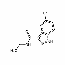 CCNC(=O)c1n[nH]c2ccc(Br)cc12